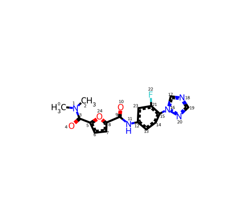 CN(C)C(=O)c1ccc(C(=O)Nc2ccc(-n3cncn3)c(F)c2)o1